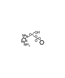 Nc1ncc2ncn(COC(CO)COC(=O)Oc3ccccc3)c2n1